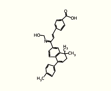 Cc1ccc(C2=CCC(C)(C)c3cc(C(/C=C/c4ccc(C(=O)O)cc4)=N/CO)ccc32)cc1